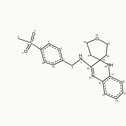 CS(=O)(=O)c1ccc(CNC2=Nc3ccccc3NC23CCOCC3)cc1